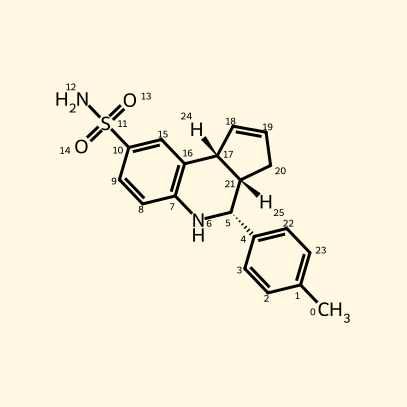 Cc1ccc([C@@H]2Nc3ccc(S(N)(=O)=O)cc3[C@@H]3C=CC[C@@H]32)cc1